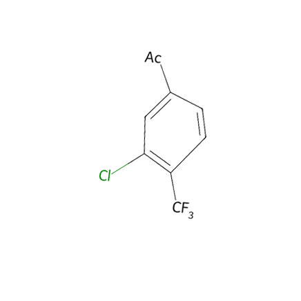 CC(=O)c1ccc(C(F)(F)F)c(Cl)c1